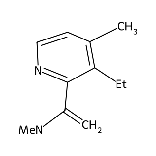 C=C(NC)c1nccc(C)c1CC